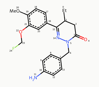 CCC1CC(=O)N(Cc2ccc(N)cc2)N=C1c1ccc(OC)c(OCF)c1